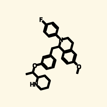 COc1ccc2c(c1)CCN(c1ccc(F)cc1)C2Cc1cccc(OC(C)C2CCCCN2)c1